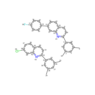 Cc1cc(C)cc(-c2ccc3ccc(-c4ccc(F)cc4)cc3n2)c1.Cc1cc(C)cc(-c2ccc3ccc(Cl)cc3n2)c1